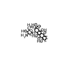 C[C@@H]1O[C@@H](O[C@H]2C[C@](O)(C(=O)O)Cc3c(O)c4c(c(O)c32)C(=O)c2c(O)cccc2C4=O)C[C@H](N)[C@@H]1O